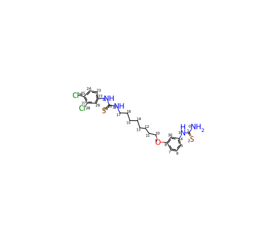 NC(=S)Nc1cccc(OCCCCCCCCNC(=S)Nc2ccc(Cl)c(Cl)c2)c1